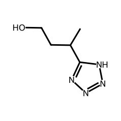 CC(CCO)c1nnn[nH]1